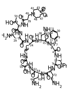 CC(C)C[C@@H]1NC(=O)[C@@H](Cc2ccccc2)NC(=O)[C@H](CCN)NC(=O)[C@@H](NC(=O)[C@H](CCN)NC(=O)[C@@H](NC(=O)CCN2CCS(=O)(=O)CC2)C(C)O)CCNC(=O)[C@H](C(C)O)NC(=O)[C@H](CCN)NC(=O)[C@H](CCN)NC1=O